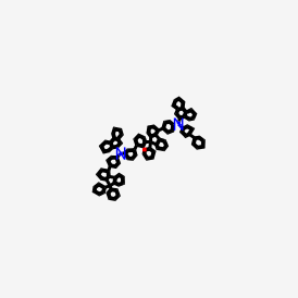 c1ccc(-c2ccc(N(c3ccc(-c4cccc5c4-c4ccccc4C5(c4ccccc4)c4cccc(-c5cccc(N(c6ccc(-c7cccc8c7-c7ccccc7C8(c7ccccc7)c7ccccc7)cc6)c6cc7ccccc7c7ccccc67)c5)c4)cc3)c3cc4ccccc4c4ccccc34)cc2)cc1